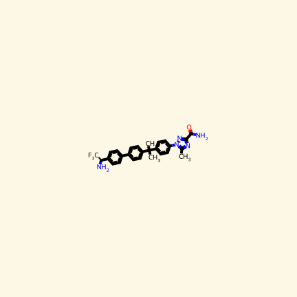 Cc1nc(C(N)=O)nn1-c1ccc(C(C)(C)c2ccc(-c3ccc([C@@H](N)C(F)(F)F)cc3)cc2)cc1